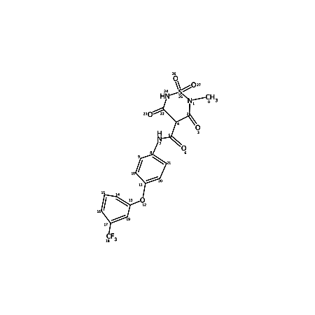 CN1C(=O)C(C(=O)Nc2ccc(Oc3cccc(C(F)(F)F)c3)cc2)C(=O)NS1(=O)=O